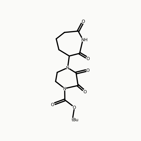 CC(C)(C)OC(=O)N1CCN(C2CCCC(=O)NC2=O)C(=O)C1=O